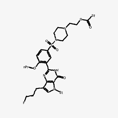 CCCOc1ccc(S(=O)(=O)N2CCN(CCOC(=O)CC)CC2)cc1-c1nc2c(CCCF)cn(CC)c2c(=O)[nH]1